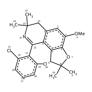 COc1cc2c(c3c1OC(C)(C)C3)C(c1c(Cl)cncc1Cl)=NC(C)(C)C2